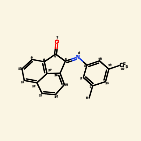 Cc1cc(N=C2C(=O)c3cccc4cccc2c34)cc(C(F)(F)F)c1